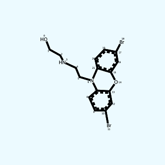 OCCNCCN1c2ccc(Br)cc2Oc2cc(Br)ccc21